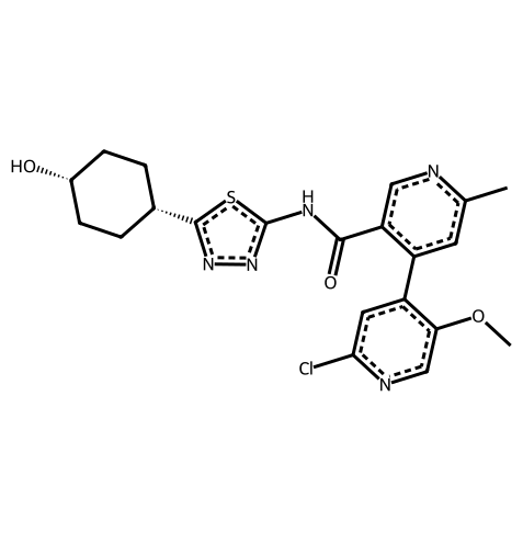 COc1cnc(Cl)cc1-c1cc(C)ncc1C(=O)Nc1nnc([C@H]2CC[C@@H](O)CC2)s1